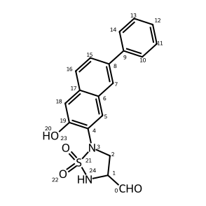 O=CC1CN(c2cc3cc(-c4ccccc4)ccc3cc2O)S(=O)(=O)N1